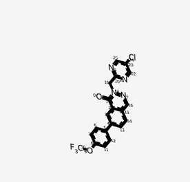 O=c1c2cc(-c3ccc(OC(F)(F)F)cc3)ccc2cnn1Cc1ncc(Cl)cn1